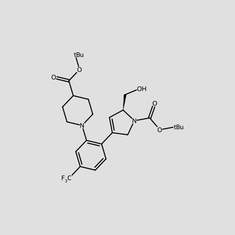 CC(C)(C)OC(=O)C1CCN(c2cc(C(F)(F)F)ccc2C2=C[C@@H](CO)N(C(=O)OC(C)(C)C)C2)CC1